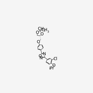 CC(C)Oc1ccc(-c2noc(-c3ccc(OC[C@@H]4COC(C)(C)O4)cc3)n2)cc1Cl